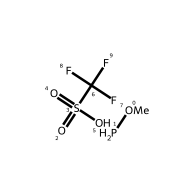 COP.O=S(=O)(O)C(F)(F)F